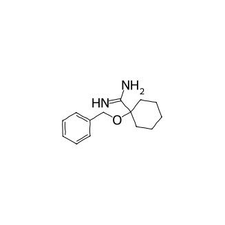 N=C(N)C1(OCc2ccccc2)CCCCC1